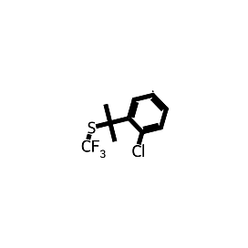 CC(C)(SC(F)(F)F)c1c[c]ccc1Cl